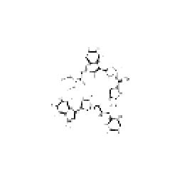 CCN(CC)C(=O)Cn1cc(C2CCN(C(=O)C3CCCC3)C2)c2ccccc21.Cn1cc(C2CCN(C=CC(=O)c3ccccc3)C2)c2ccccc21